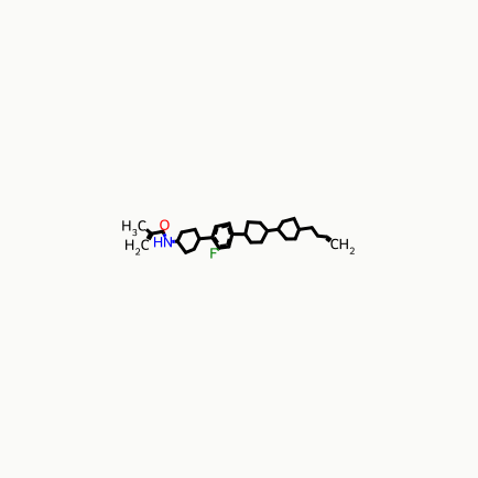 C=CCCC1CCC(C2CCC(c3ccc(C4CCC(NC(=O)C(=C)C)CC4)c(F)c3)CC2)CC1